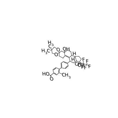 Cc1cc(C(=O)O)ccc1-c1ccc(C2C[C@@]3(C)[C@@H](CC[C@@]3(O)C(F)(F)C(F)(F)F)[C@@H]3CC[C@@]4(O)CC5(CCC4=C23)OCC(C)(C)CO5)cc1